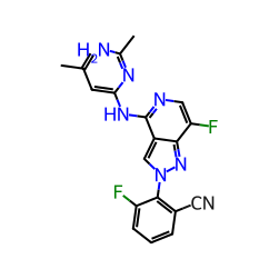 C=C(C)/C=C(\N=C(\C)N)Nc1ncc(F)c2nn(-c3c(F)cccc3C#N)cc12